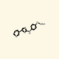 CCCCCCCCOc1ccc(Nc2nc(-c3cccnc3)cs2)cc1